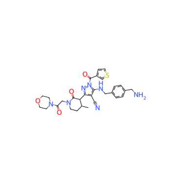 CC1CCN(CC(=O)N2CCOCC2)C(=O)C1c1nn(C(=O)c2ccsc2)c(NCc2ccc(CN)cc2)c1C#N